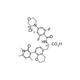 Cc1cc(C)n(C)c(=O)c1-c1ccc(C[C@H](NC(=O)c2c(F)cc(N3CCOC[C@@H]3C(F)(F)F)cc2F)C(=O)O)c2c1OCCC2